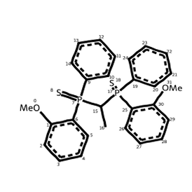 COc1ccccc1P(=S)(c1ccccc1)C(C)P(=S)(c1ccccc1)c1ccccc1OC